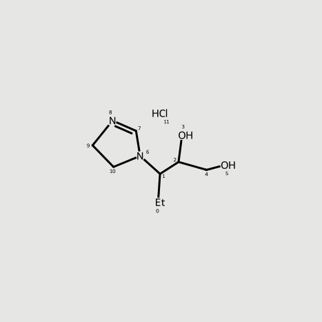 CCC(C(O)CO)N1C=NCC1.Cl